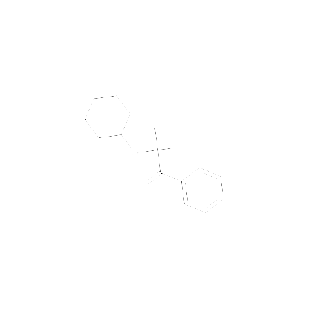 CC(O)(OC1CCCCC1)C(=O)c1ccccc1